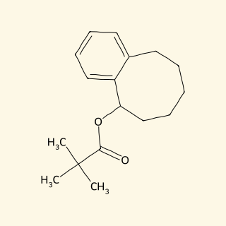 CC(C)(C)C(=O)OC1CCCCCc2ccccc21